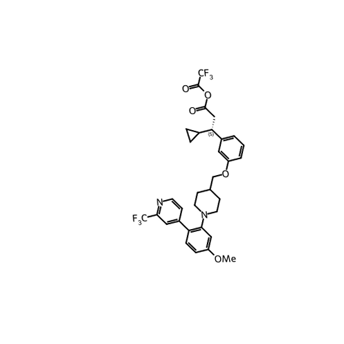 COc1ccc(-c2ccnc(C(F)(F)F)c2)c(N2CCC(COc3cccc([C@@H](CC(=O)OC(=O)C(F)(F)F)C4CC4)c3)CC2)c1